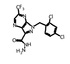 NNC(=O)c1nn(Cc2ccc(Cl)cc2Cl)c2nc(C(F)(F)F)cnc12